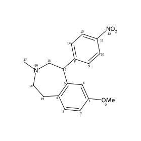 COc1ccc2c(c1)C(c1ccc([N+](=O)[O-])cc1)CN(C)CC2